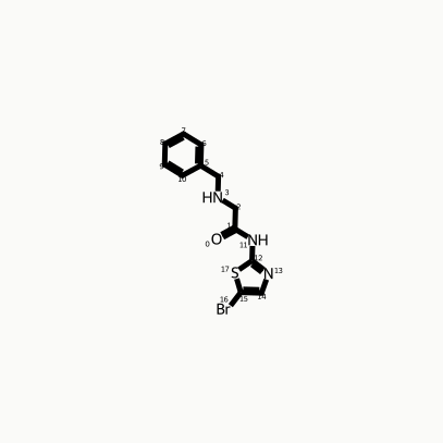 O=C(CNCc1ccccc1)Nc1ncc(Br)s1